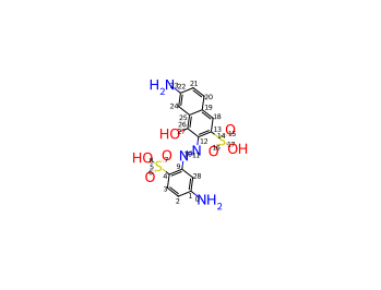 Nc1ccc(S(=O)(=O)O)c(N=Nc2c(S(=O)(=O)O)cc3ccc(N)cc3c2O)c1